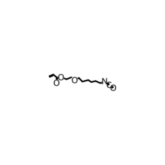 C=CC(=O)OCCOCCCCCCN=C=O